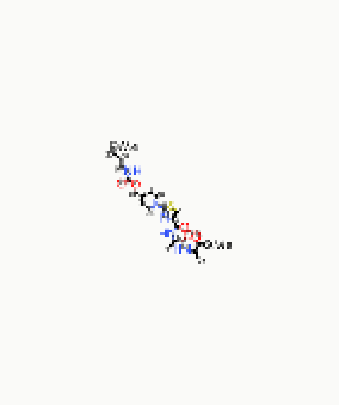 C=C(NC(=O)c1csc(N2CCC(COC(=O)NCCCOC)CC2)n1)C(=O)NC(=C)C(=O)OC